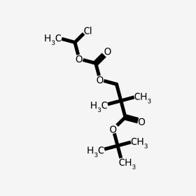 CC(Cl)OC(=O)OCC(C)(C)C(=O)OC(C)(C)C